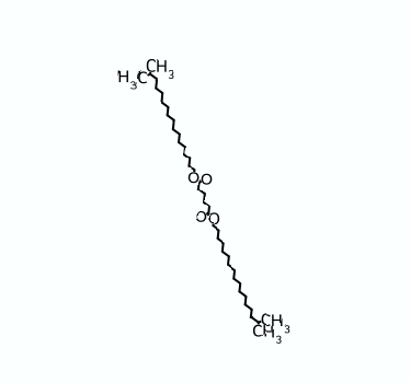 CC(C)CCCCCCCCCCCCCCCOC(=O)CCCCC(=O)OCCCCCCCCCCCCCCCC(C)C